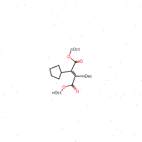 CCCCCCCCCCC(C(=O)OCCCCCCCC)=C(C(=O)OCCCCCCCC)C1CCCC1